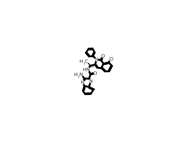 C[C@H](NC(=O)c1nc2ccccc2nc1N)c1cc2cccc(Cl)c2c(=O)n1-c1ccccc1